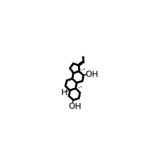 C/C=C1\CCC2C3CC[C@@H]4C[C@H](O)CC[C@]4(C)C3C[C@H](O)[C@]12C